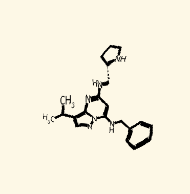 CC(C)c1cnn2c(NCc3ccccc3)cc(NC[C@@H]3CCCN3)nc12